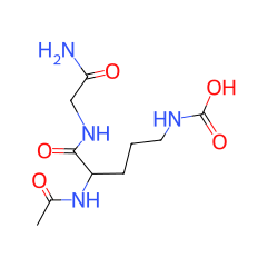 CC(=O)NC(CCCNC(=O)O)C(=O)NCC(N)=O